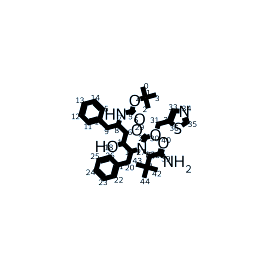 CC(C)(C)OC(=O)NC(Cc1ccccc1)CC(O)C(Cc1ccccc1)N(C(=O)OCc1cncs1)[C@H](C(N)=O)C(C)(C)C